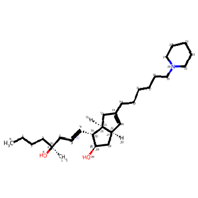 CCCC[C@](C)(O)C/C=C/[C@@H]1[C@H]2CC(CCCCCCN3CCCCC3)=C[C@H]2C[C@H]1O